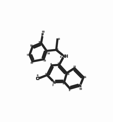 CC(Nc1cc(Cl)nc2cnccc12)c1ccccc1F